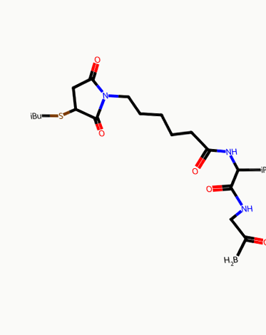 BC(=O)CNC(=O)C(NC(=O)CCCCCN1C(=O)CC(SC(C)CC)C1=O)C(C)C